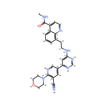 CNC(=O)c1ccnc2c(CCNc3cc(-c4cnc(N5CCOCC5)c(C#N)c4)ncn3)cccc12